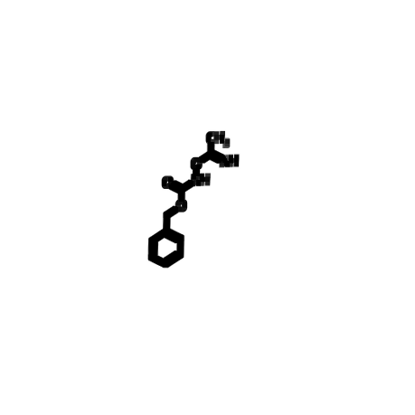 CC(=N)ONC(=O)OCc1ccccc1